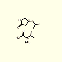 CC(C)C[C@@H]1CNC(=O)C1.CC(C)[C@H](N)C(=O)O